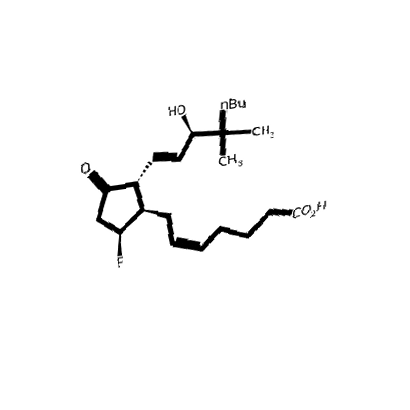 CCCCC(C)(C)[C@H](O)/C=C/[C@H]1C(=O)C[C@H](F)[C@@H]1C/C=C\CCCC(=O)O